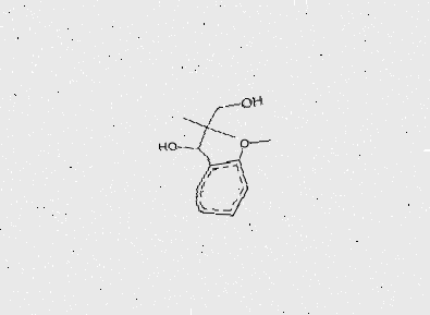 COc1ccccc1C(O)C(C)(C)CO